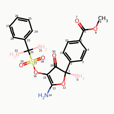 BC1(c2ccc(C(=O)OC)cc2)OC(N)=C(OS(=O)(=O)C(B)(B)c2ccccc2)C1=O